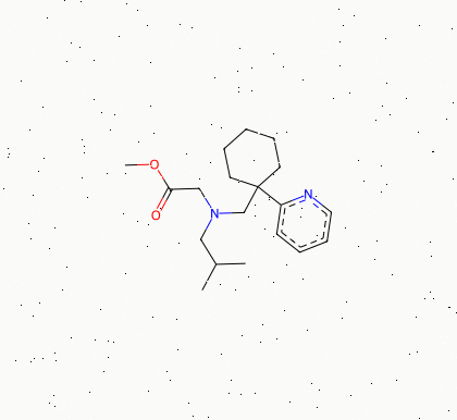 COC(=O)CN(CC(C)C)CC1(c2ccccn2)CCCCC1